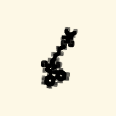 CC1CC(C)(C(=O)OCCCCCCn2c(=O)cc(-c3ccccc3)n(-c3ccccc3)c2=S)C1C